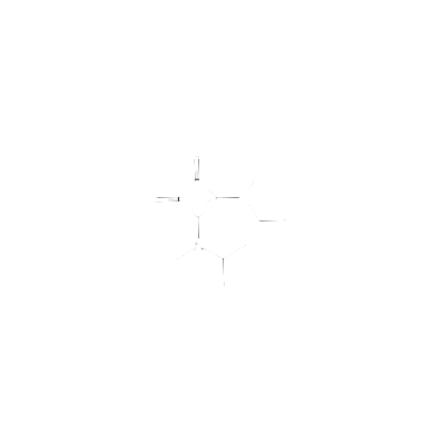 CC[S+]([O-])c1c(N(C)C(C)C)c(=O)c1=O